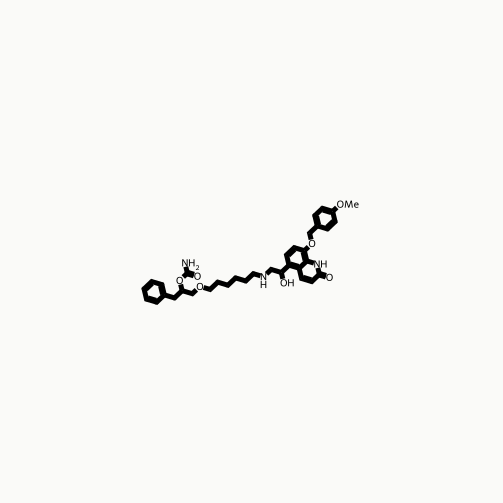 COc1ccc(COc2ccc(C(O)CNCCCCCCOCC(Cc3ccccc3)OC(N)=O)c3ccc(=O)[nH]c23)cc1